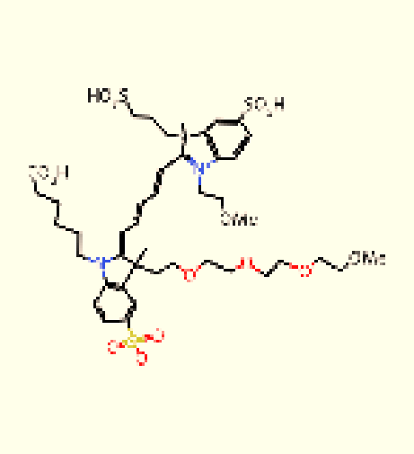 COCCOCCOCCOCCC1(C)\C(=C/C=C/C=C/C2=[N+](CCOC)c3ccc(S(=O)(=O)O)cc3C2(C)CCCS(=O)(=O)O)N(CCCCCC(=O)O)c2ccc(S(=O)(=O)[O-])cc21